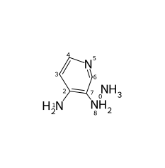 N.Nc1ccncc1N